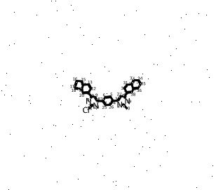 Cc1nc(-c2ccc(-c3cc(-c4ccc5ccccc5c4)nc(Cl)n3)cc2)cc(-c2ccc3ccccc3c2)n1